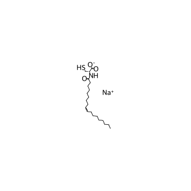 CCCCCCCC/C=C\CCCCCCCC(=O)N[C@@H](CS)C(=O)[O-].[Na+]